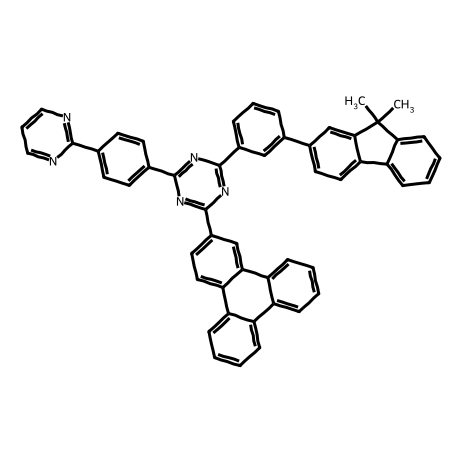 CC1(C)c2ccccc2-c2ccc(-c3cccc(-c4nc(-c5ccc(-c6ncccn6)cc5)nc(-c5ccc6c7ccccc7c7ccccc7c6c5)n4)c3)cc21